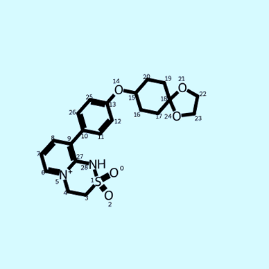 O=S1(=O)CC[n+]2cccc(-c3ccc(OC4CCC5(CC4)OCCO5)cc3)c2N1